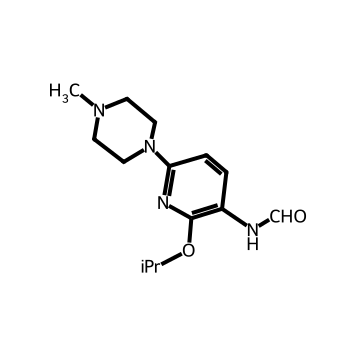 CC(C)Oc1nc(N2CCN(C)CC2)ccc1NC=O